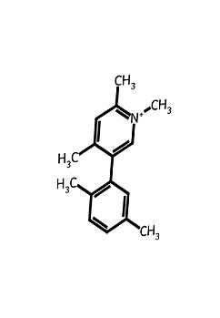 Cc1ccc(C)c(-c2c[n+](C)c(C)cc2C)c1